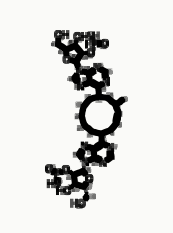 CC1/C=C\CC(c2ncnc3c2ncn3[C@@H]2O[C@H](CO)[C@@H](O)[C@H]2O[PH](=O)S)CCCCCC(c2ncnc3c2ncn3C2OC(CO)[C@@H](O)[C@H]2O[PH](=O)S)C1